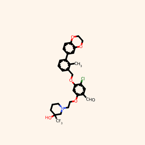 Cc1c(COc2cc(OCCN3CCCC(O)(C(F)(F)F)C3)c(C=O)cc2Cl)cccc1-c1ccc2c(c1)OCCO2